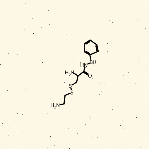 NCCSSCC(N)C(=O)NBc1ccccc1